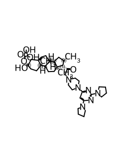 C[C@@H]1C[C@H]2[C@@H]3CC=C4C[C@](O)(OP(=O)(O)O)CC[C@]4(C)[C@H]3CC[C@]2(C)[C@H]1C(=O)CN1CCN(c2cc(N3CCCC3)nc(N3CCCC3)n2)CC1